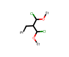 CCOC(Cl)C(CC(C)C)C(Cl)OCC